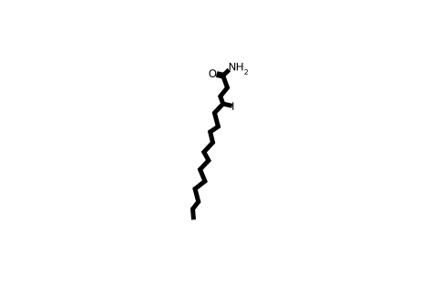 CCCCCCCCCCCCC(I)CCC(N)=O